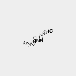 CC(=O)N(C)C1CCN(C(=O)Nc2ccc(N3CCC(N4CCCC4C)C3)c(C)c2)C1